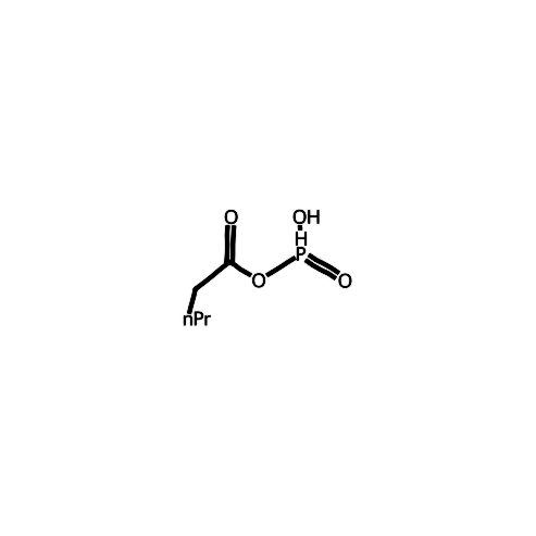 CCCCC(=O)O[PH](=O)O